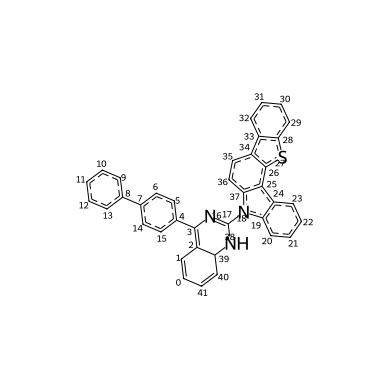 C1=CC2=C(c3ccc(-c4ccccc4)cc3)N=C(n3c4ccccc4c4c5sc6ccccc6c5ccc43)NC2C=C1